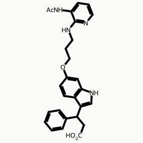 CC(=O)Nc1cccnc1NCCCOc1ccc2c(C(CC(=O)O)c3ccccc3)c[nH]c2c1